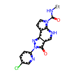 CCNC(=O)n1ccc2c3nn(-c4ccc(Cl)cn4)c(=O)c-3c[nH]c21